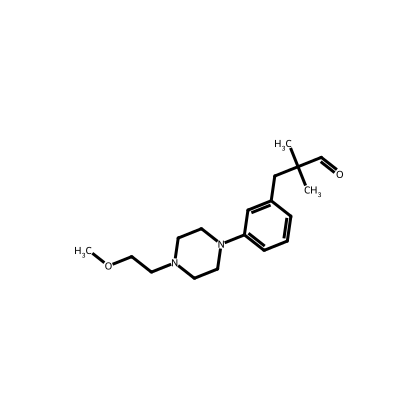 COCCN1CCN(c2cccc(CC(C)(C)C=O)c2)CC1